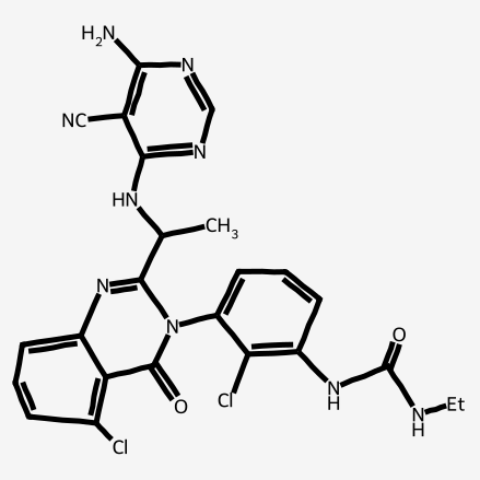 CCNC(=O)Nc1cccc(-n2c(C(C)Nc3ncnc(N)c3C#N)nc3cccc(Cl)c3c2=O)c1Cl